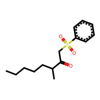 CCCCCC(C)C(=O)CS(=O)(=O)c1ccccc1